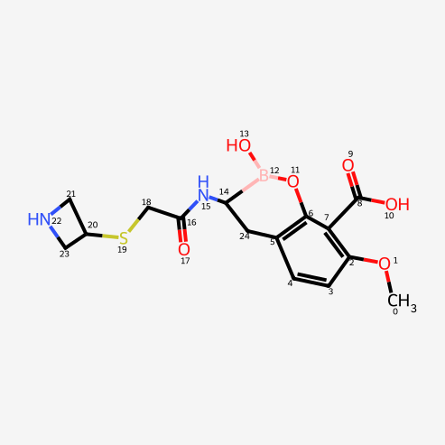 COc1ccc2c(c1C(=O)O)OB(O)C(NC(=O)CSC1CNC1)C2